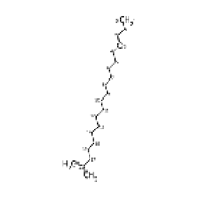 [CH2]CCOCCCCCCCCCCCCCCC(C)C